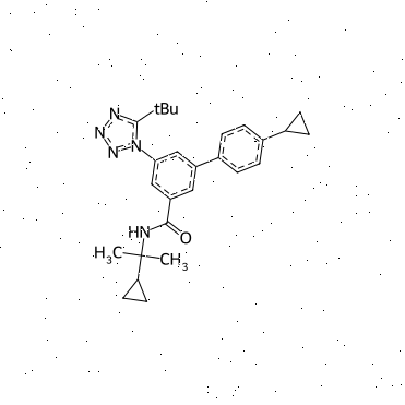 CC(C)(C)c1nnnn1-c1cc(C(=O)NC(C)(C)C2CC2)cc(-c2ccc(C3CC3)cc2)c1